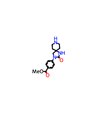 COC(=O)c1ccc(N2CC3(CCNCC3)NC2=O)cc1